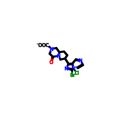 O=C([O-])N1CC(=O)N2CC(C3=C4C=NC=C[N+]4(Cl)C(Br)=N3)CCC2C1